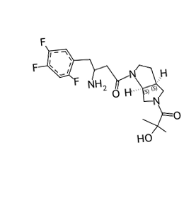 CC(C)(O)C(=O)N1C[C@@H]2CCN(C(=O)CC(N)Cc3cc(F)c(F)cc3F)[C@@H]2C1